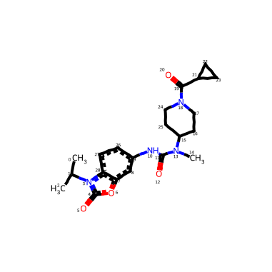 CC(C)n1c(=O)oc2cc(NC(=O)N(C)C3CCN(C(=O)C4CC4)CC3)ccc21